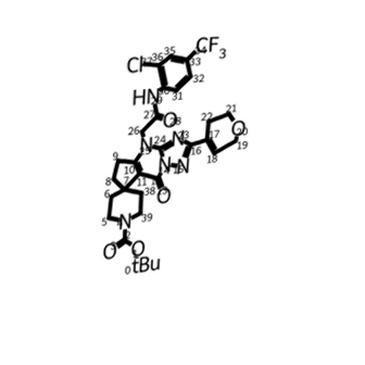 CC(C)(C)OC(=O)N1CCC2(CCc3c2c(=O)n2nc(C4=CCOCC4)nc2n3CC(=O)Nc2ccc(C(F)(F)F)cc2Cl)CC1